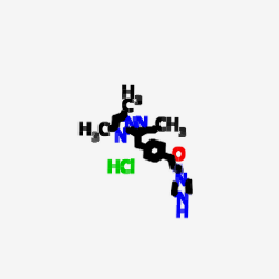 CCc1nn2c(C)cc(C)nc2c1Cc1ccc(C(=O)/C=C/N2CCNCC2)cc1.Cl